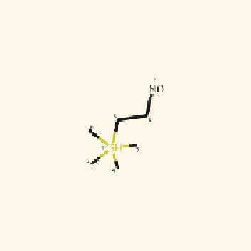 C[SH](C)(C)(C)CCN=O